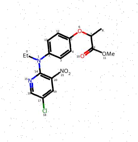 CCN(c1ccc(OC(C)C(=O)OC)cc1)c1ncc(Cl)cc1[N+](=O)[O-]